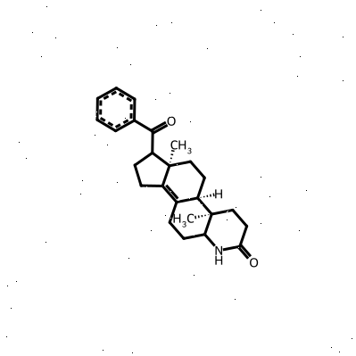 C[C@]12CC[C@@H]3C(=C1CCC2C(=O)c1ccccc1)CCC1NC(=O)CC[C@@]13C